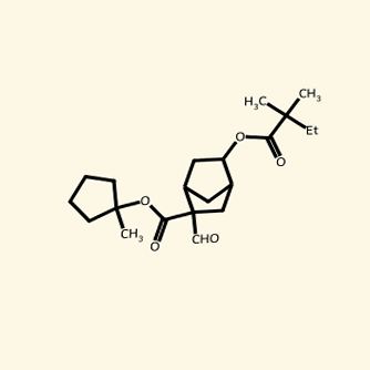 CCC(C)(C)C(=O)OC1CC2CC1CC2(C=O)C(=O)OC1(C)CCCC1